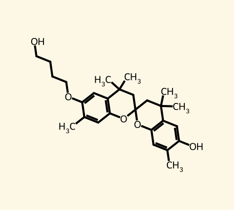 Cc1cc2c(cc1O)C(C)(C)CC1(CC(C)(C)c3cc(OCCCCO)c(C)cc3O1)O2